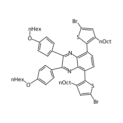 CCCCCCCCc1cc(Br)sc1-c1ccc(-c2sc(Br)cc2CCCCCCCC)c2nc(-c3ccc(OCCCCCC)cc3)c(-c3ccc(OCCCCCC)cc3)nc12